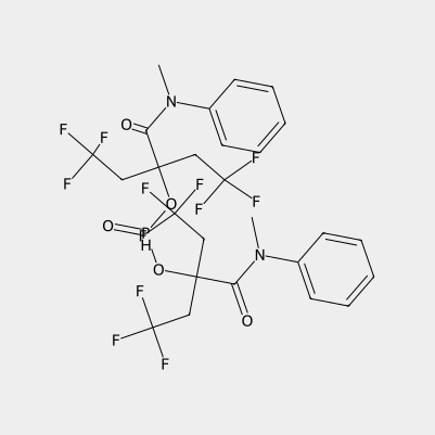 CN(C(=O)C(CC(F)(F)F)(CC(F)(F)F)O[PH](=O)OC(CC(F)(F)F)(CC(F)(F)F)C(=O)N(C)c1ccccc1)c1ccccc1